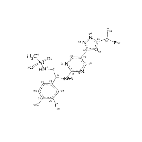 CS(=O)(=O)NCC(Nc1ncc(-c2nnc(C(F)F)o2)cn1)c1ccc(F)c(F)c1